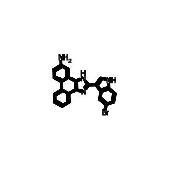 Nc1ccc2c3ccccc3c3nc(-c4c[nH]c5ccc(Br)cc45)[nH]c3c2c1